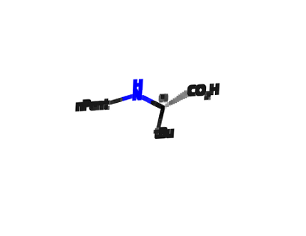 CCCCCN[C@H](C(=O)O)C(C)(C)C